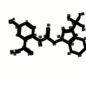 NC(=O)c1cc(Cl)ccc1NC(=O)Cn1nc(C(F)(F)F)c2c1CCCC2